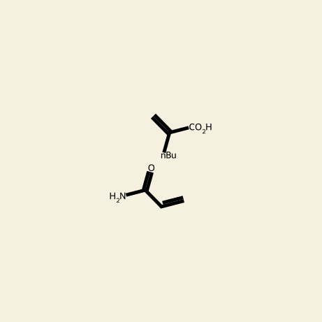 C=C(CCCC)C(=O)O.C=CC(N)=O